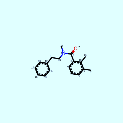 Cc1cccc(C(=O)N(C)CCc2ccccc2)c1C